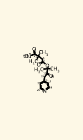 CC(C)(C)C(=O)C(C)(C)CC(=O)OC(C)(C)C(=O)Cc1ccncc1